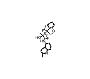 CCC1(C(F)(F)C(C)(O)C(F)Nc2cccc3nc(C)ccc23)CCOc2ccccc21